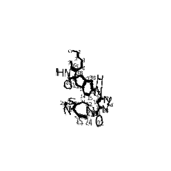 CC=C/C=C\C1=C(C)NC(=O)C12Cc1ccc(Nc3cc(C(=O)N4CCc5ncsc5CC4)ncn3)cc1C2